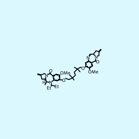 C=C1CC2C=Nc3cc(OCC(C)(C)CCC(C)(C)CCOc4cc5c(cc4OC)C(=O)N4CC(=C)C[C@H]4C(C)N5C(CC)CC)c(OC)cc3C(=O)N2C1